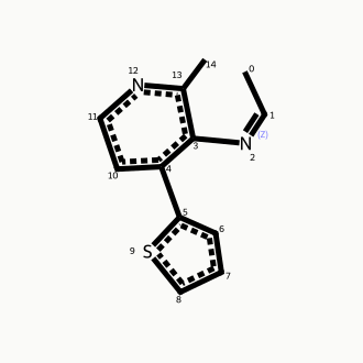 C/C=N\c1c(-c2cccs2)ccnc1C